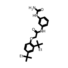 CCC(C)(C)c1ccc(OCC(=O)Nc2cccc(NC(N)=O)c2)c(C(C)(C)CC)c1